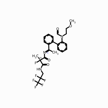 COCCN(C=O)c1ccccc1-c1ccccc1/C(C)=N/C(=O)[C@@](C)(F)C(=O)NCC(F)(F)C(F)(F)F